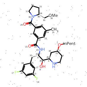 CCCCCO[C@H]1CCN[C@@H]([C@@H](O)[C@H](Cc2cc(F)cc(F)c2)NC(=O)c2cc(C)cc(C(=O)N3CCC[C@@H]3COC)c2)C1